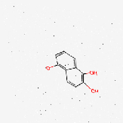 [O]c1cccc2c(O)c(O)ccc12